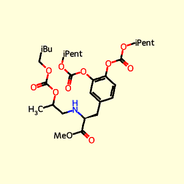 CCCC(C)OC(=O)Oc1ccc(C[C@H](NCC(C)OC(=O)OCC(C)CC)C(=O)OC)cc1OC(=O)OC(C)CCC